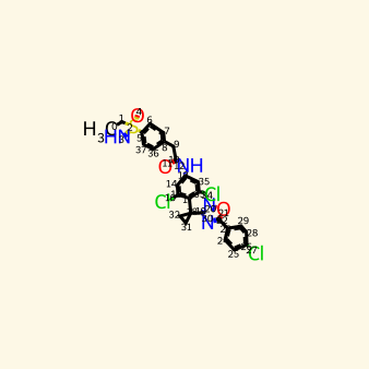 CCS(=N)(=O)c1ccc(CC(=O)Nc2cc(Cl)c(C3(c4noc(-c5ccc(Cl)cc5)n4)CC3)c(Cl)c2)cc1